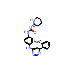 COc1ccccc1-c1cc(Nc2ccc(NC(=O)O[C@H]3CCCCN3)cc2)ncn1